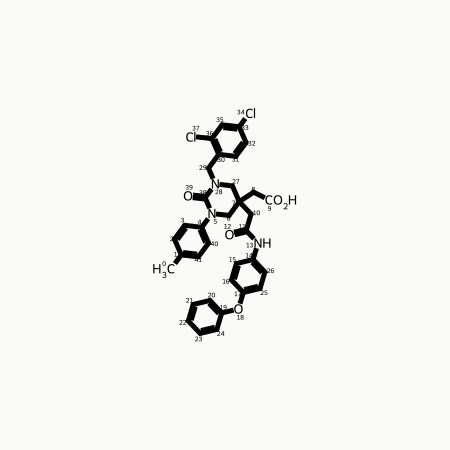 Cc1ccc(N2CC(CC(=O)O)(CC(=O)Nc3ccc(Oc4ccccc4)cc3)CN(Cc3ccc(Cl)cc3Cl)C2=O)cc1